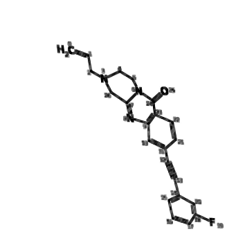 C=CCN1CCn2c(nc3cc(C#Cc4cccc(F)c4)ccc3c2=O)C1